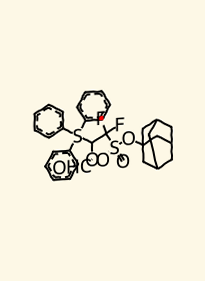 O=COC(C(F)(F)S(=O)(=O)OC12CC3CC(CC(C3)C1)C2)S(c1ccccc1)(c1ccccc1)c1ccccc1